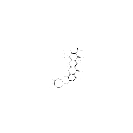 C[C@H]1CCN(Cc2cc(O)c3c(c2Cl)C[C@H]2C[C@H]4[C@H](N(C)C)C(O)=C(C(N)=O)C(=O)[C@@]4(O)C(O)=C2C3=O)CCC1O